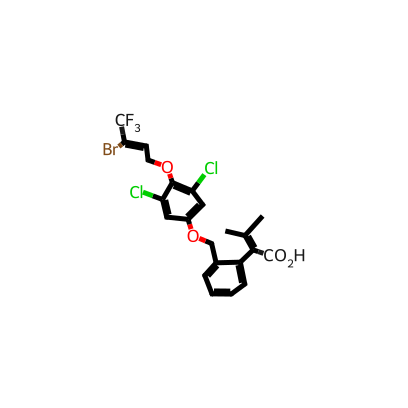 CC(C)=C(C(=O)O)c1ccccc1COc1cc(Cl)c(OC/C=C(\Br)C(F)(F)F)c(Cl)c1